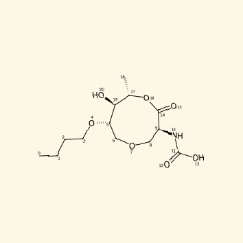 CCCCO[C@H]1COC[C@H](NC(=O)O)C(=O)O[C@@H](C)[C@@H]1O